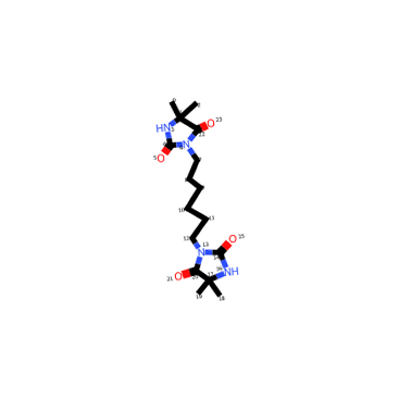 CC1(C)NC(=O)N(CCCCCCN2C(=O)NC(C)(C)C2=O)C1=O